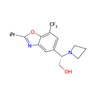 CC(C)c1nc2cc([C@@H](CO)N3CCC3)cc(C(F)(F)F)c2o1